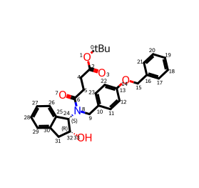 CC(C)(C)OC(=O)CCC(=O)N(Cc1ccc(OCc2ccccc2)cc1)[C@H]1c2ccccc2C[C@H]1O